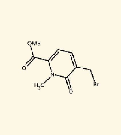 COC(=O)c1ccc(CBr)c(=O)n1C